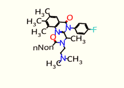 CCCCCCCCCC(=O)N(CCN(C)C)C(C)c1nc2c(C)c(C)c(C)cc2c(=O)n1-c1ccc(F)cc1